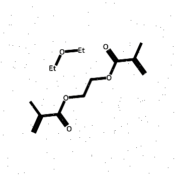 C=C(C)C(=O)OCCOC(=O)C(=C)C.CCOCC